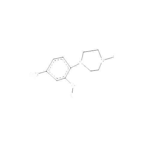 CCOc1cc([N+](=O)[O-])ccc1N1CCN(CC)CC1